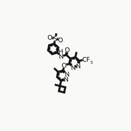 Cc1cc(C2(C)CCC2)nnc1Oc1nnc(C(F)(F)F)c(C)c1C(=O)Nc1cccc(S(C)(=O)=O)c1